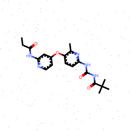 CCC(=O)Nc1cc(Oc2ccc(NC(=O)NC(=O)C(C)(C)C)nc2C)ccn1